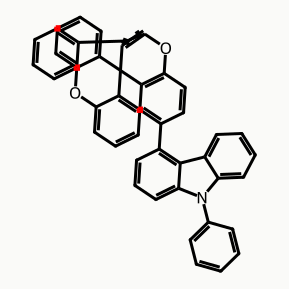 c1ccc(-c2cccc3c2C2(c4ccccc4Oc4ccccc42)c2cc(-c4cccc5c4c4ccccc4n5-c4ccccc4)ccc2O3)cc1